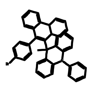 CC1(C2=C(c3ccc(Br)cc3)c3ccccc3C3C=CC=CC23)c2ccccc2N(c2ccccc2)c2ccccc21